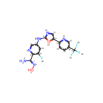 N/C(=N\O)c1ncc(Nc2ncc(-c3ccc(C(F)(F)F)cn3)o2)cc1F